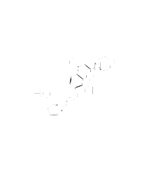 Cc1c(OCCN2CCC[C@@H]2CO)ccc2c(=O)cc(N3CCOCC3)oc12